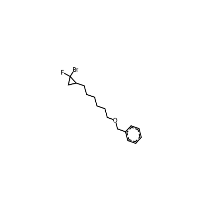 FC1(Br)CC1CCCCCCOCc1ccccc1